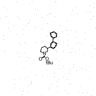 CC(C)(C)OC(=O)N1CCCC(c2cccc(-c3ccccc3)c2)C1